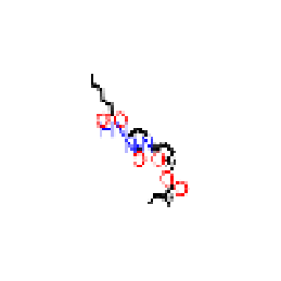 CCCCCC(=O)ONc1ccn([C@H]2CC[C@@H](COC(=O)[C@@H](C)CC)O2)c(=O)n1